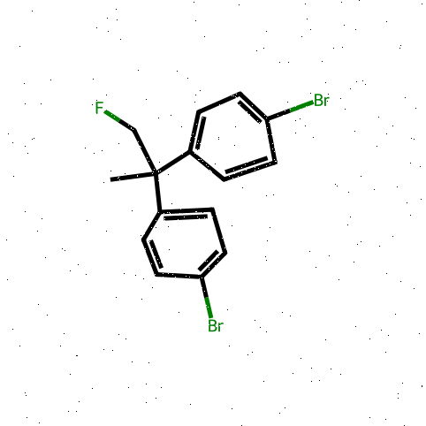 CC(CF)(c1ccc(Br)cc1)c1ccc(Br)cc1